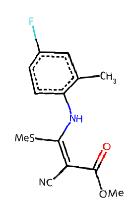 COC(=O)C(C#N)=C(Nc1ccc(F)cc1C)SC